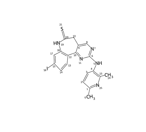 Cc1ccc(Nc2ncc3c(n2)-c2ccc(I)cc2NC(=S)C3)c(C)n1